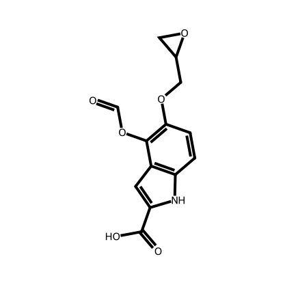 O=COc1c(OCC2CO2)ccc2[nH]c(C(=O)O)cc12